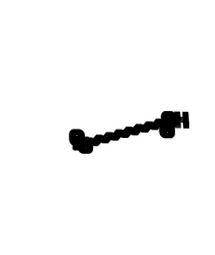 CC(=O)OCCCCCCCCCCCCCCCC(=O)O